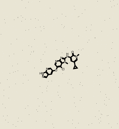 Cn1cc(C2CC2)cc(Nc2nc3ncc(Oc4cnc5[nH]ncc5c4)c(Cl)c3n2C)c1=O